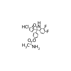 CC(N)C(=O)Oc1ccc(C2(c3cccs3)C(=O)Nc3c2ccc(F)c3F)cc1.Cl